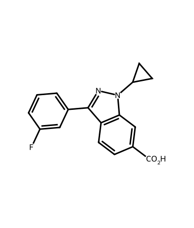 O=C(O)c1ccc2c(-c3cccc(F)c3)nn(C3CC3)c2c1